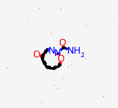 NC(=O)n1ncc(=O)cccco1